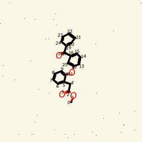 COC(=O)Cc1ccccc1Oc1cccc(C(=O)c2ccccc2)c1